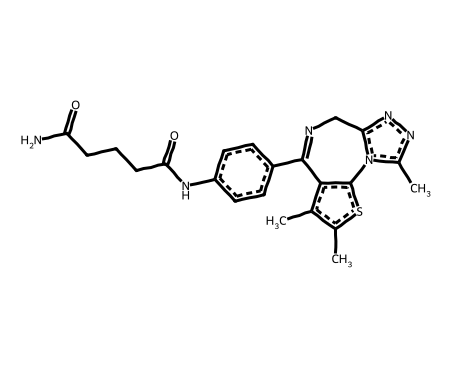 Cc1sc2c(c1C)C(c1ccc(NC(=O)CCCC(N)=O)cc1)=NCc1nnc(C)n1-2